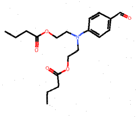 CCCC(=O)OCCN(CCOC(=O)CCC)c1ccc(C=O)cc1